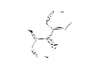 C/C=C\C(=C/C)C(=O)C(/C=C\C)=C/C